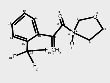 C=C(C(=O)[N+]1([O-])CCOC1)c1ccccc1C(F)(F)F